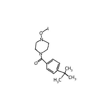 CC(C)(C)c1ccc(C(=O)N2CCN(OI)CC2)cc1